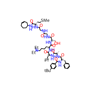 CCN(CC)CCCC[C@H](NC(=O)[C@H](CC(C)C)NC(=O)[C@H](C)NC(=O)[C@H](Cc1ccccc1)NC(=O)c1ccc(C(C)(C)C)cc1)C(=O)N[C@@H](CO)C(=O)NCC(=O)NCC(=O)N[C@@H](CCSC)C(=O)NC1CC=CCCC1